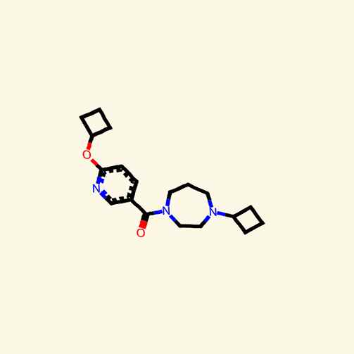 O=C(c1ccc(OC2CCC2)nc1)N1CCCN(C2CCC2)CC1